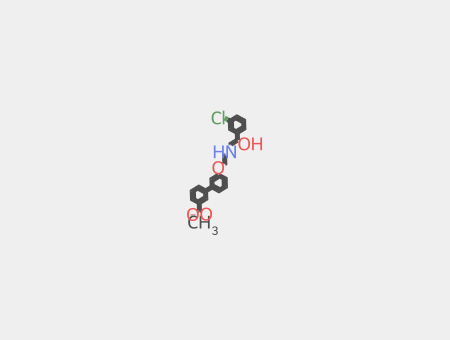 COC(=O)c1cccc(-c2cccc(OCCNCC(O)c3cccc(Cl)c3)c2)c1